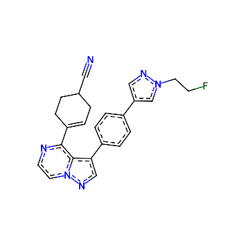 N#CC1CC=C(c2nccn3ncc(-c4ccc(-c5cnn(CCF)c5)cc4)c23)CC1